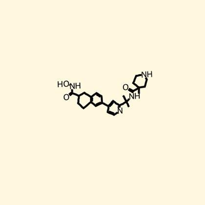 CC1(C(=O)NC(C)(C)c2cc(-c3ccc4c(c3)CCC(C(=O)NO)C4)ccn2)CCNCC1